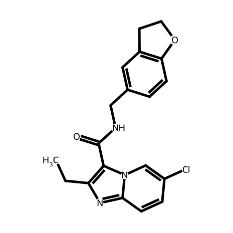 CCc1nc2ccc(Cl)cn2c1C(=O)NCc1ccc2c(c1)CCO2